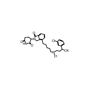 CCN(CCCCCc1cccc2c1CN(C1CCC(=O)NC1=O)C2=O)CCC(C#N)c1cccc(Cl)c1